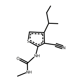 CCC(C)c1csc(NC(=O)NC)c1C#N